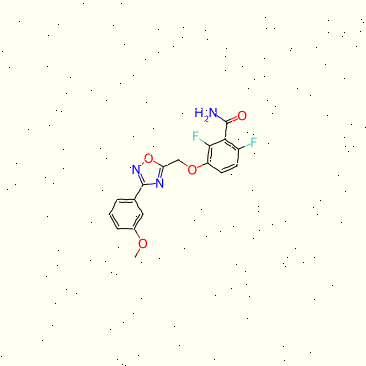 COc1cccc(-c2noc(COc3ccc(F)c(C(N)=O)c3F)n2)c1